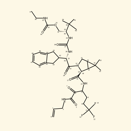 C=CCNC(=O)C(=O)C(CCC(F)(F)F)NC(=O)[C@@H]1C2C(CN1C(=O)[C@@H](NC(=O)N[C@H](COC(=O)NCC)C(C)(C)C)C1Cc3ccccc3C1)C2(C)C